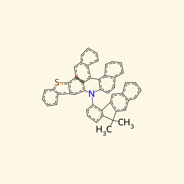 CC1(C)c2cc3ccccc3cc2-c2c(N(c3ccc4sc5ccccc5c4c3)c3ccc4ccccc4c3-c3cccc4ccccc34)cccc21